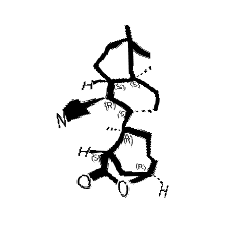 CC1(C)CC[C@H]2[C@H](C#N)[C@@H]([C@@]3(C)CC[C@@H]4C[C@@H]3C(=O)O4)CC[C@@]21C